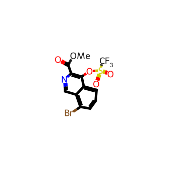 COC(=O)c1ncc2c(Br)cccc2c1OS(=O)(=O)C(F)(F)F